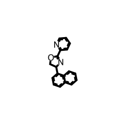 c1ccc(C2=NC(c3cccc4ccccc34)CO2)nc1